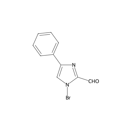 O=Cc1nc(-c2ccccc2)cn1Br